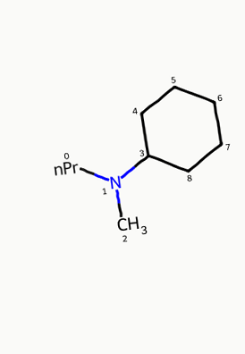 CCCN(C)C1CCCCC1